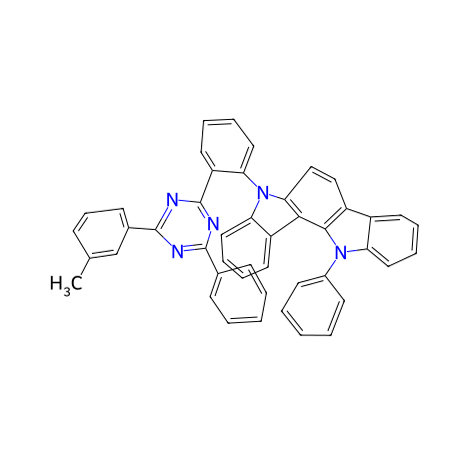 Cc1cccc(-c2nc(-c3ccccc3)nc(-c3ccccc3-n3c4ccccc4c4c3ccc3c5ccccc5n(-c5ccccc5)c34)n2)c1